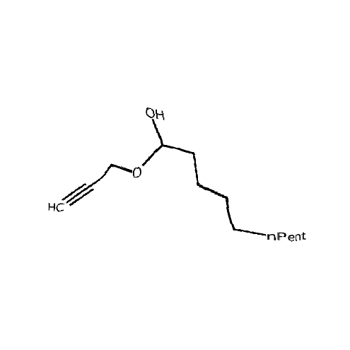 C#CCOC(O)CCCCCCCCC